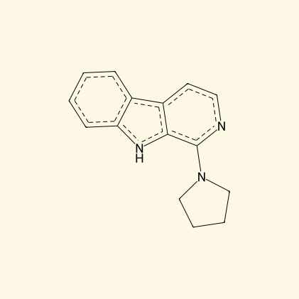 c1ccc2c(c1)[nH]c1c(N3CCCC3)nccc12